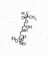 C=C(C)C(=O)OCC(O)CNCC[CH2][Ti]([O]CC)([O]CC)[O]CC